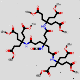 CC(C)(C)OC(=O)CCC(CCC(=O)OC(C)(C)C)(CCC(=O)OC(C)(C)C)NC(=O)CCC(CCC(=O)NC(CCC(=O)OC(C)(C)C)(CCC(=O)OC(C)(C)C)CCC(=O)OC(C)(C)C)(CCC(=O)NC(CCC(=O)OC(C)(C)C)(CCC(=O)OC(C)(C)C)CCC(=O)OC(C)(C)C)N=C=O